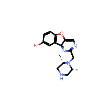 C[C@@H]1CNC[C@H](C)N1Cc1ncc2oc3ccc(Br)cc3c2n1